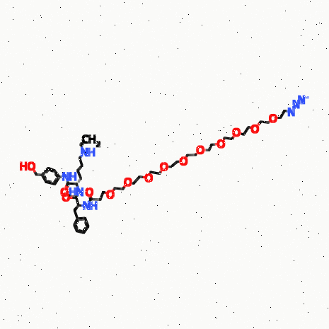 C=CNCCCC[C@H](NC(=O)[C@H](Cc1ccccc1)NC(=O)CCOCCOCCOCCOCCOCCOCCOCCOCCOCCOCCN=[N+]=[N-])C(=O)Nc1ccc(CO)cc1